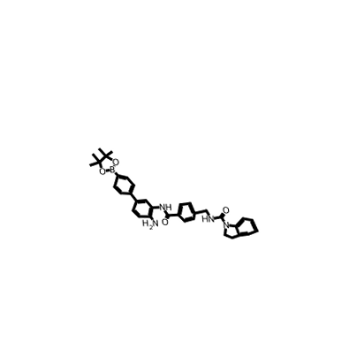 CC1(C)OB(c2ccc(-c3ccc(N)c(NC(=O)c4ccc(CNC(=O)N5CCc6ccccc65)cc4)c3)cc2)OC1(C)C